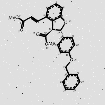 COC(=O)C=Cc1cccc2c1[C@H](C(=O)OC)[C@@H](c1ccc(OCc3ccccc3)cc1)O2